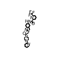 O=C(Nc1ccc2nn(CC(=O)N3CCN(c4ccccn4)CC3)cc2c1)c1cccc(C(F)(F)F)n1